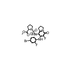 COC(=O)C1CCCN1S(=O)(=O)Nc1c(Nc2ccc(Br)cc2F)c(F)c(=O)n2c1CCC2